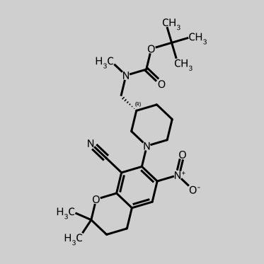 CN(C[C@@H]1CCCN(c2c([N+](=O)[O-])cc3c(c2C#N)OC(C)(C)CC3)C1)C(=O)OC(C)(C)C